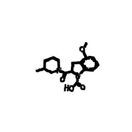 COc1cccc2c1CC(C(=O)N1CCCC(C)C1)N2C(=O)O